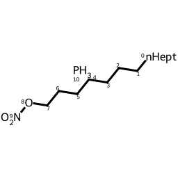 CCCCCCCCCCCCCCO[N+](=O)[O-].P